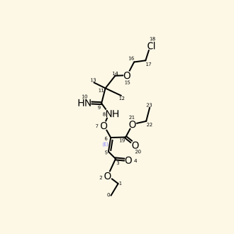 CCOC(=O)/C=C(/ONC(=N)C(C)(C)COCCCl)C(=O)OCC